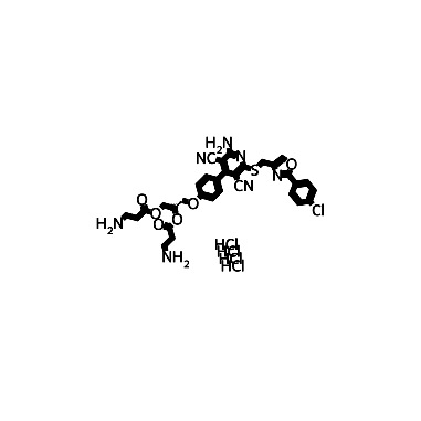 Cl.Cl.Cl.Cl.N#Cc1c(N)nc(SCc2coc(-c3ccc(Cl)cc3)n2)c(C#N)c1-c1ccc(OC[C@@H](COC(=O)CCN)OC(=O)CCN)cc1